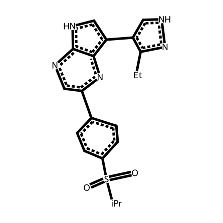 CCc1n[nH]cc1-c1c[nH]c2ncc(-c3ccc(S(=O)(=O)C(C)C)cc3)nc12